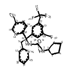 O=C(NC1CCCC1)N[C@@](Cc1ccccn1)(c1cc(F)cc(C(F)(F)F)c1)c1ccc(Cl)cn1